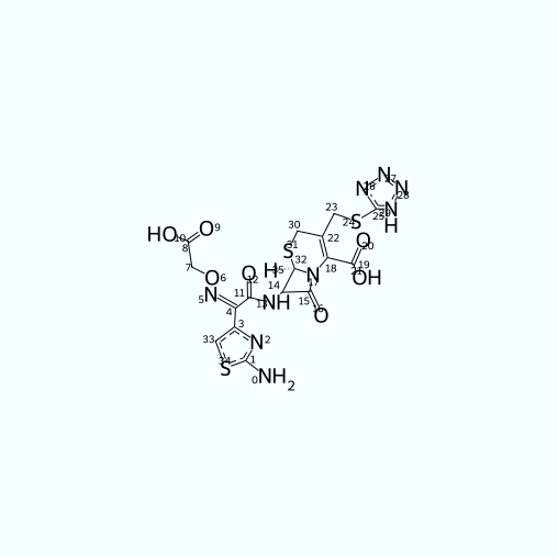 Nc1nc(/C(=N/OCC(=O)O)C(=O)NC2C(=O)N3C(C(=O)O)=C(CSc4nnn[nH]4)CS[C@H]23)cs1